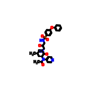 CC(=O)N(c1ccncc1)[C@@H](CC(C)C)C(=O)NCC(=O)CNS(=O)(=O)c1ccc(Oc2ccccc2)cc1